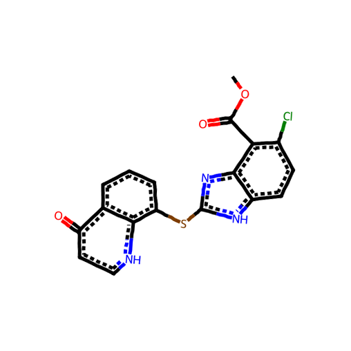 COC(=O)c1c(Cl)ccc2[nH]c(Sc3cccc4c(=O)cc[nH]c34)nc12